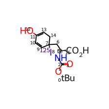 CC(C)(C)OC(=O)N[C@@H](CC1([125I])C=CC(O)=CC1)C(=O)O